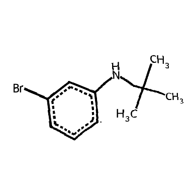 CC(C)(C)Nc1[c]ccc(Br)c1